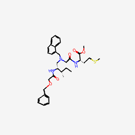 CC[C@H](C)[C@@H](CN(CC(=O)N[C@@H](CCSC)C(=O)OC)Cc1cccc2ccccc12)NC(=O)COCc1ccccc1